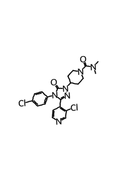 CN(C)C(=O)N1CCC(n2nc(-c3ccncc3Cl)n(-c3ccc(Cl)cc3)c2=O)CC1